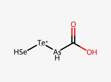 O=C(O)[AsH][Te+][SeH]